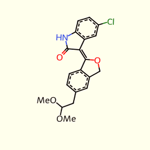 COC(Cc1ccc2c(c1)COC2=C1C(=O)Nc2ccc(Cl)cc21)OC